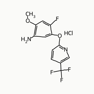 COc1cc(F)c(Oc2ccc(C(F)(F)F)cn2)cc1N.Cl